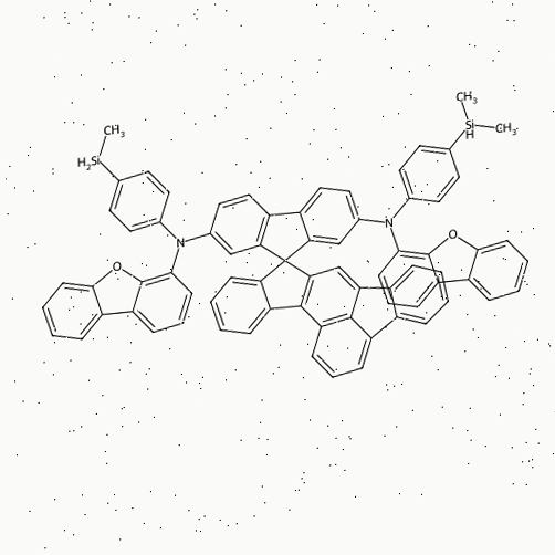 C[SiH2]c1ccc(N(c2ccc3c(c2)C2(c4cc(N(c5ccc([SiH](C)C)cc5)c5cccc6c5oc5ccccc56)ccc4-3)c3ccccc3-c3c2cc2c4c(cccc34)-c3ccccc3-2)c2cccc3c2oc2ccccc23)cc1